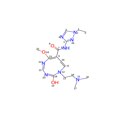 CCn1cnc(NC(=O)c2ccn(CCN(C)C)c(O)ncnc2OC)n1